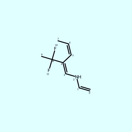 C=CN/C=C(\C=C/C)C(C)(F)F